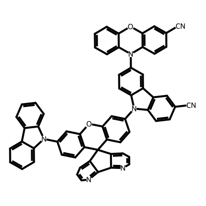 N#Cc1ccc2c(c1)Oc1ccccc1N2c1ccc2c(c1)c1cc(C#N)ccc1n2-c1ccc2c(c1)Oc1cc(-n3c4ccccc4c4ccccc43)ccc1C21c2cccnc2-c2ncccc21